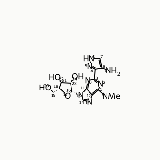 CNc1nc(-c2n[nH]cc2N)nc2c1ncn2[C@@H]1O[C@H](CO)[C@@H](O)[C@H]1O